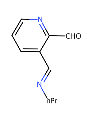 CCCN=Cc1cccnc1C=O